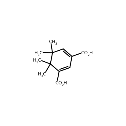 CC1(C)C=C(C(=O)O)C=C(C(=O)O)C1(C)C